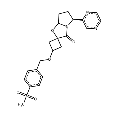 CS(=O)(=O)c1ccc(COC2CC3(C2)OC2CC[C@@H](c4cnccn4)N2C3=O)cc1